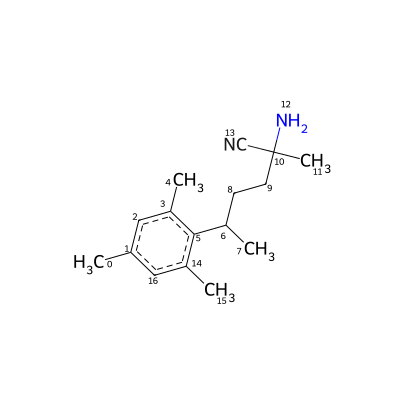 Cc1cc(C)c(C(C)CCC(C)(N)C#N)c(C)c1